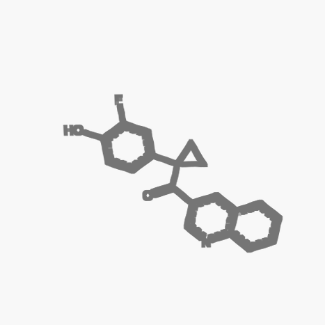 O=C(c1cnc2ccccc2c1)C1(c2ccc(O)c(F)c2)CC1